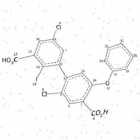 O=C(O)c1cc(Cl)c(-c2cc(Cl)cc(C(=O)O)c2I)cc1Oc1ccccc1